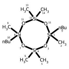 CCCC[Si]1(C)O[Si](C)(C)O[Si](C)(CCCC)O[Si](C)(C)O1